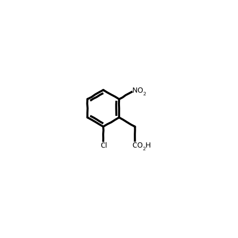 O=C(O)Cc1c(Cl)cccc1[N+](=O)[O-]